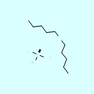 CCCC[CH2][Zn][CH2]CCCC.OP(O)(=S)S